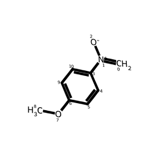 C=[N+]([O-])c1ccc(OC)cc1